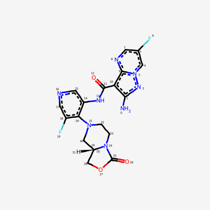 Nc1nn2cc(F)cnc2c1C(=O)Nc1cncc(F)c1N1CCN2C(=O)OC[C@@H]2C1